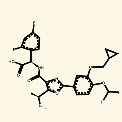 C[C@H](N)c1oc(-c2ccc(OC(F)F)c(OCC3CC3)c2)nc1C(=O)N[C@@H](C(=O)O)c1ccc(F)cc1F